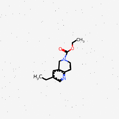 CCOC(=O)N1CCc2ncc(CC)cc2C1